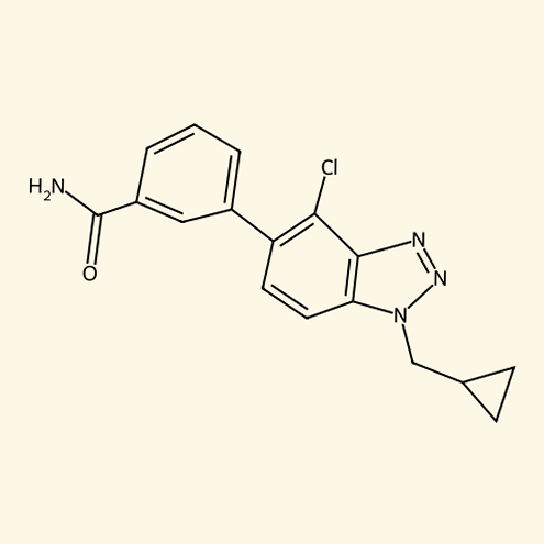 NC(=O)c1cccc(-c2ccc3c(nnn3CC3CC3)c2Cl)c1